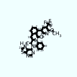 COc1ncc(-c2cccc3cc([C@H](C)Nc4ncnc5scnc45)n(-c4ccccc4)c(=O)c23)cc1C(F)(F)F